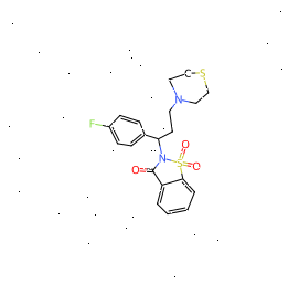 O=C1c2ccccc2S(=O)(=O)N1C(CCN1CCSCC1)c1ccc(F)cc1